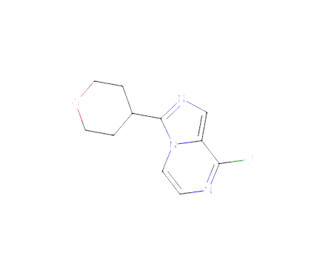 Clc1nccn2c(C3CCOCC3)ncc12